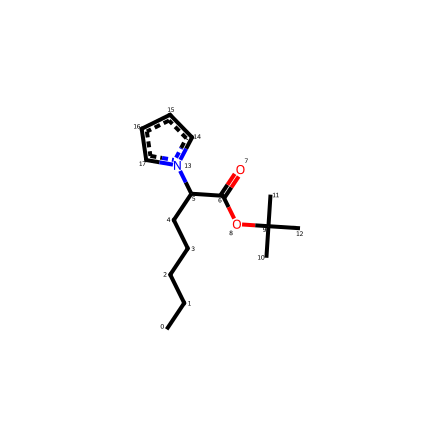 CCCCCC(C(=O)OC(C)(C)C)n1cccc1